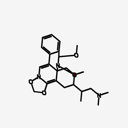 COC1c2ccccc2C2=CN3OCOC3=C3CC(C(C)CN(C)C)CCC23N1OC